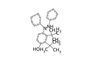 CC(C)(C)c1c(O)ccc(N(Nc2ccccc2)c2ccccc2)c1C(C)(C)C